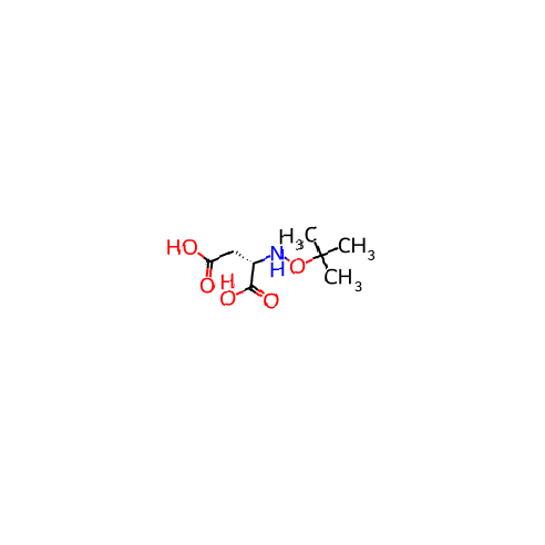 CC(C)(C)ON[C@@H](CC(=O)O)C(=O)O